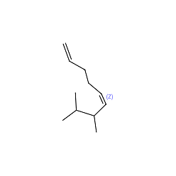 C=CCC/C=C\C(C)C(C)C